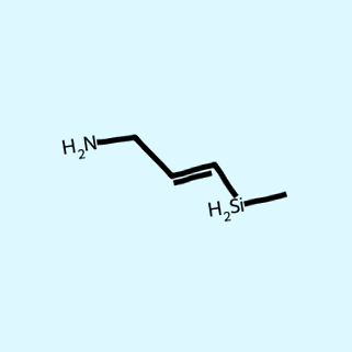 C[SiH2]C=CCN